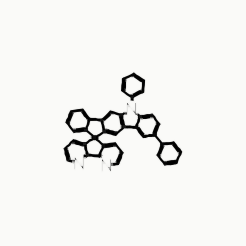 c1ccc(-c2ccc3c(c2)c2cc4c(cc2n3-c2ccccc2)-c2ccccc2C42c3cccnc3-c3ncccc32)cc1